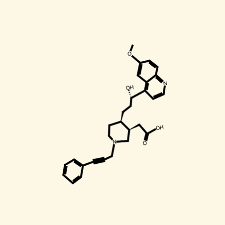 COc1ccc2nccc([C@@H](O)CC[C@@H]3CCN(CC#Cc4ccccc4)C[C@@H]3CC(=O)O)c2c1